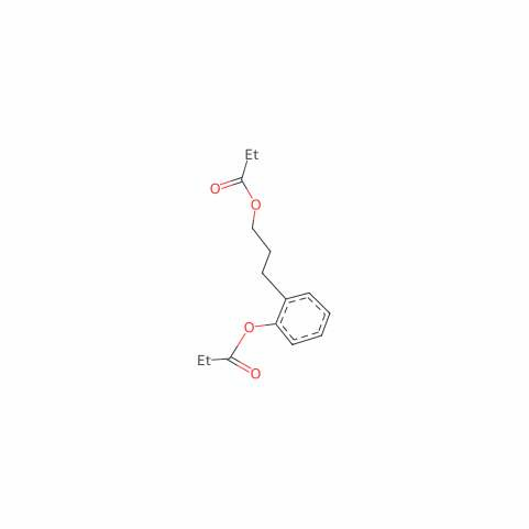 CCC(=O)OCCCc1ccccc1OC(=O)CC